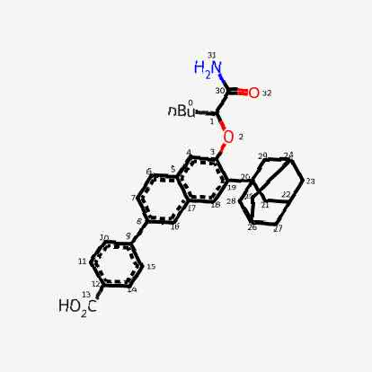 CCCCC(Oc1cc2ccc(-c3ccc(C(=O)O)cc3)cc2cc1C12CC3CC(CC(C3)C1)C2)C(N)=O